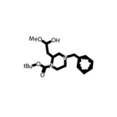 COC(O)CC1CN(Cc2ccccc2)CCN1C(=O)OC(C)(C)C